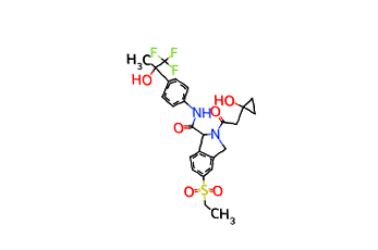 CCS(=O)(=O)c1ccc2c(c1)CN(C(=O)CC1(O)CC1)C2C(=O)Nc1ccc(C(C)(O)C(F)(F)F)cc1